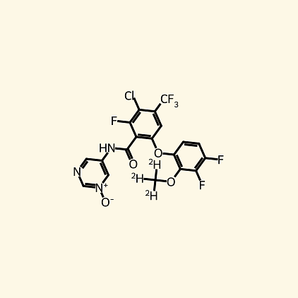 [2H]C([2H])([2H])Oc1c(Oc2cc(C(F)(F)F)c(Cl)c(F)c2C(=O)Nc2cnc[n+]([O-])c2)ccc(F)c1F